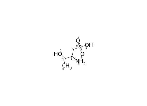 CC(O)C(N)CS(=O)(=O)O